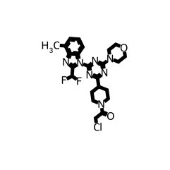 Cc1cccc2c1nc(C(F)F)n2-c1nc(C2CCN(C(=O)CCl)CC2)nc(N2CCOCC2)n1